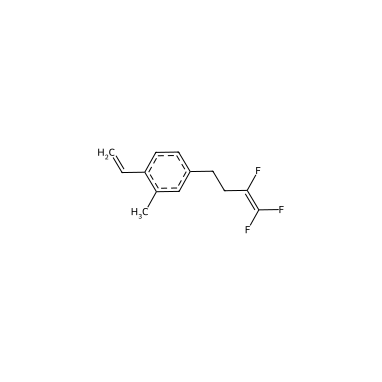 C=Cc1ccc(CCC(F)=C(F)F)cc1C